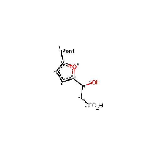 CCCCCc1ccc(C(O)CC(=O)O)o1